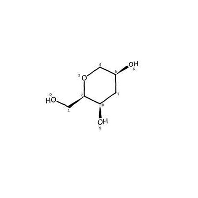 OC[C@H]1OC[C@@H](O)C[C@H]1O